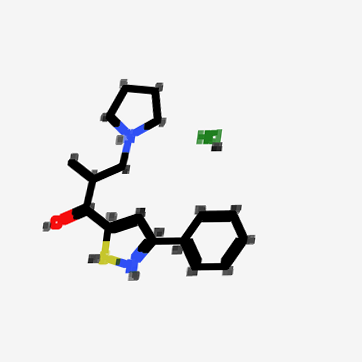 CC(CN1CCCC1)C(=O)c1cc(-c2ccccc2)ns1.Cl